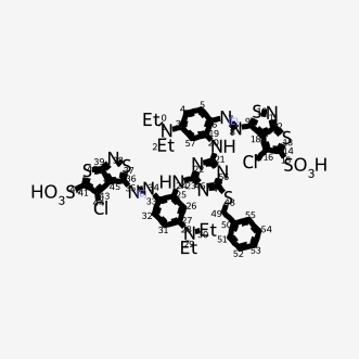 CCN(CC)c1ccc(/N=N/c2snc3sc(S(=O)(=O)O)c(Cl)c23)c(Nc2nc(Nc3cc(N(CC)CC)ccc3/N=N/c3snc4sc(S(=O)(=O)O)c(Cl)c34)nc(SCc3ccccc3)n2)c1